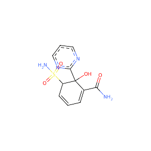 NC(=O)C1=CC=CC(S(N)(=O)=O)C1(O)c1ncccn1